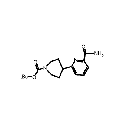 CC(C)(C)OC(=O)N1CCC(c2cccc(C(N)=O)n2)CC1